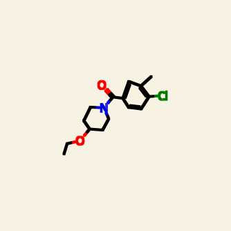 CCOC1CCN(C(=O)c2ccc(Cl)c(C)c2)CC1